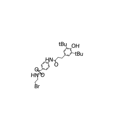 CC(C)(C)c1cc(CCC(=O)Nc2ccc(S(=O)(=O)NCCBr)cc2)cc(C(C)(C)C)c1O